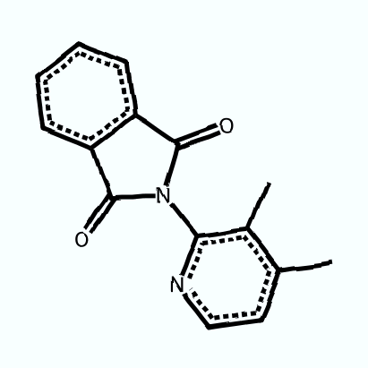 Cc1ccnc(N2C(=O)c3ccccc3C2=O)c1C